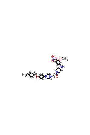 COc1cc(NC2CCN(C(=O)CCN3CCN(c4ccc(OCc5ccc(C)cc5)cc4)CC3)CC2)ccc1O[N+](=O)[O-]